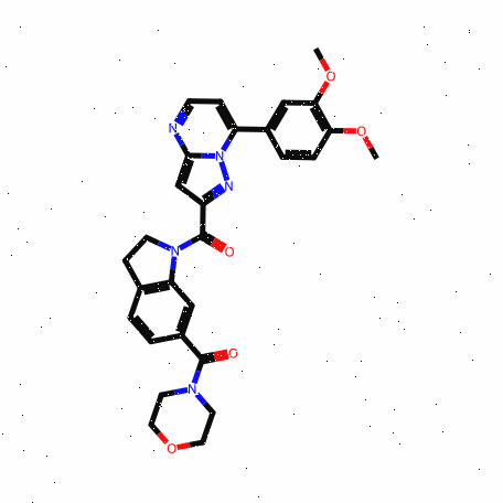 COc1ccc(-c2ccnc3cc(C(=O)N4CCc5ccc(C(=O)N6CCOCC6)cc54)nn23)cc1OC